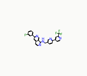 Fc1cccc(-c2cc3ccnc(NCc4ccc(-c5ccnc(C(F)(F)F)c5)nc4)c3cn2)c1